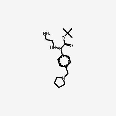 CC(C)(C)OC(=O)N(NCCN)c1ccc(CN2CCCC2)cc1